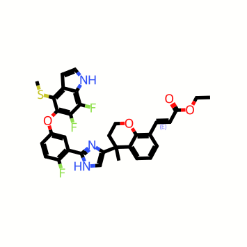 CCOC(=O)/C=C/c1cccc2c1OCCC2(C)c1c[nH]c(-c2cc(Oc3c(F)c(F)c4[nH]ccc4c3SC)ccc2F)n1